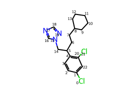 Clc1ccc(C(CCC2CCCCC2)Cn2cncn2)c(Cl)c1